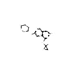 CC1(Nc2nc(C#N)cc3cnc(N[C@H]4CCCNC4)cc23)CC1